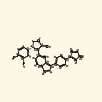 O=C1OC[C@@H](c2ccc(F)c(F)c2)N1c1ccn2ncc(-c3ccc(-c4nc[nH]n4)cc3)c2n1